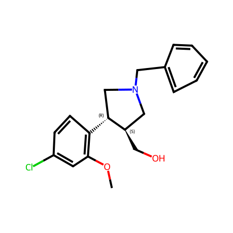 COc1cc(Cl)ccc1[C@@H]1CN(Cc2ccccc2)C[C@H]1CO